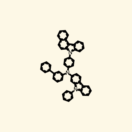 c1ccc(-c2cccc(N(c3ccc(-n4c5ccccc5c5c6ccccc6ccc54)cc3)c3ccc4c5ccccc5n(-c5ccccc5)c4c3)c2)cc1